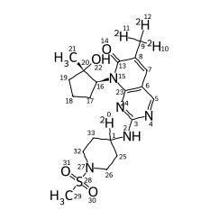 [2H]C1(Nc2ncc3cc(C([2H])([2H])[2H])c(=O)n([C@H]4CCC[C@]4(C)O)c3n2)CCN(S(C)(=O)=O)CC1